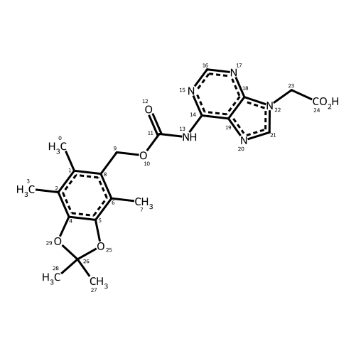 Cc1c(C)c2c(c(C)c1COC(=O)Nc1ncnc3c1ncn3CC(=O)O)OC(C)(C)O2